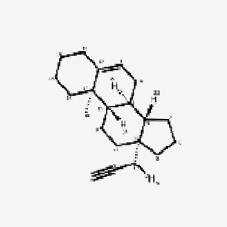 [2H]C(C#C)[C@@]12CCC[C@H]1[C@@H]1CC=C3CCCC[C@]3(C)[C@H]1CC2